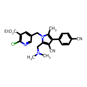 CCOC(=O)c1cc(Cn2c(C)c(-c3ccc(C#N)cc3)c(C#N)c2CN(C)C)cnc1Cl